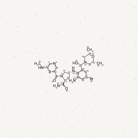 CNc1cncc(C(=O)N2C[C@H](Nc3c(N)cc(Br)cc3C(O)N3C[C@@H](C)O[C@@H](C)C3)C[C@H]2C(N)=O)c1